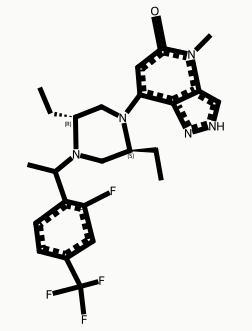 CC[C@H]1CN(C(C)c2ccc(C(F)(F)F)cc2F)[C@H](CC)CN1c1cc(=O)n(C)c2c[nH]nc12